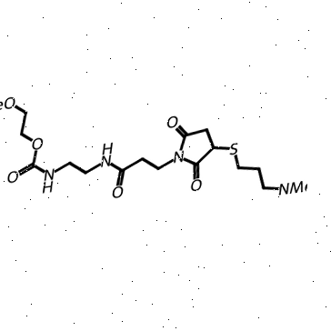 CNCCCSC1CC(=O)N(CCC(=O)NCCNC(=O)OCCOC)C1=O